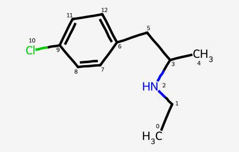 CCNC(C)Cc1ccc(Cl)cc1